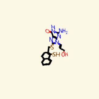 Nc1nc2c(nc(SCc3ccc4ccccc4c3S)n2C=CCO)c(=O)[nH]1